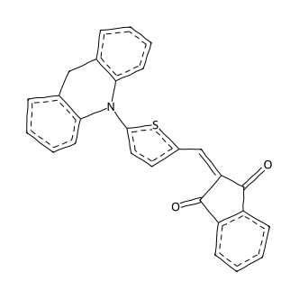 O=C1C(=Cc2ccc(N3c4ccccc4Cc4ccccc43)s2)C(=O)c2ccccc21